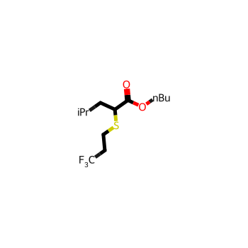 CCCCOC(=O)C(CC(C)C)SCCC(F)(F)F